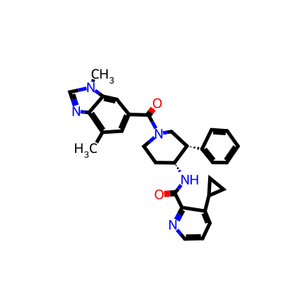 Cc1cc(C(=O)N2CC[C@@H](NC(=O)c3ncccc3C3CC3)[C@@H](c3ccccc3)C2)cc2c1ncn2C